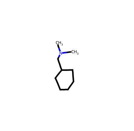 CN(C)CC1CCCCC1